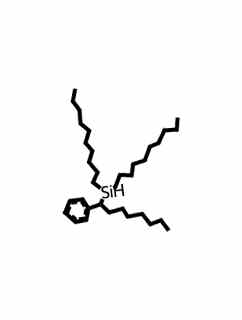 CCCCCCCCCC[SiH](CCCCCCCCCC)C(CCCCCCC)c1ccccc1